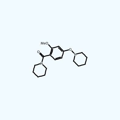 COc1cc(ON2CCCCC2)ccc1C(=O)N1CC[CH]CC1